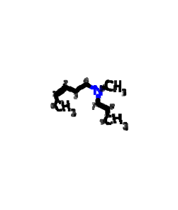 C/C=C\CCN(C)CCC